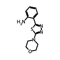 Nc1ccccc1-c1nnc(N2CCOCC2)s1